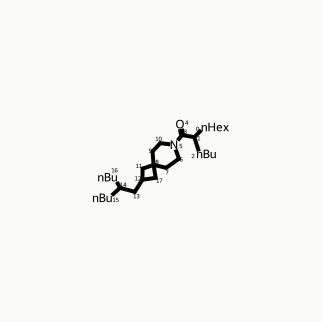 CCCCCCC(CCCC)C(=O)N1CCC2(CC1)CC(CC(CCCC)CCCC)C2